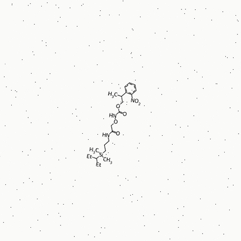 CCC(CC)[Si](C)(C)CCCNC(=O)CONC(=O)OCC(C)c1ccccc1[N+](=O)[O-]